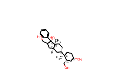 C[C@]1([C@H]2CC[C@@]3(C)[C@H](CC(CO)[C@@]3(O)c3ccccc3)C2)CC[C@H](O)C[C@@H]1CO